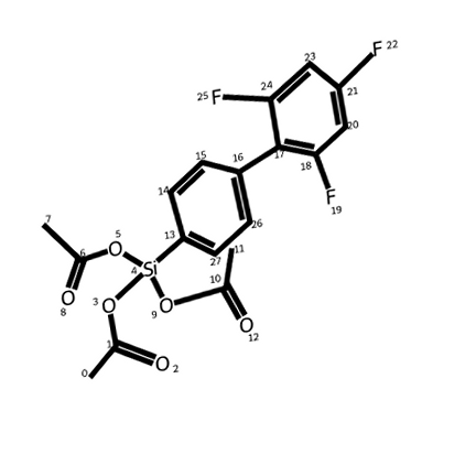 CC(=O)O[Si](OC(C)=O)(OC(C)=O)c1ccc(-c2c(F)cc(F)cc2F)cc1